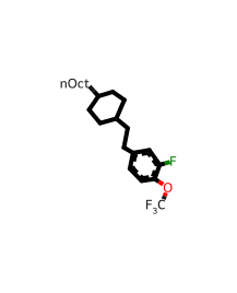 CCCCCCCCC1CCC(CCc2ccc(OC(F)(F)F)c(F)c2)CC1